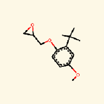 COc1ccc(OCC2CO2)c(C(C)(C)C)c1